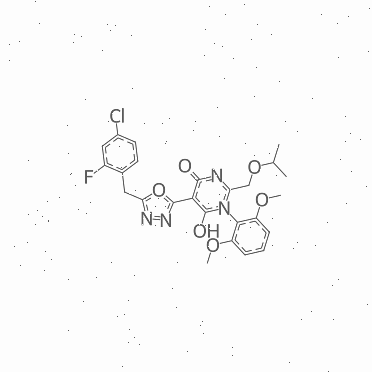 COc1cccc(OC)c1-n1c(COC(C)C)nc(=O)c(-c2nnc(Cc3ccc(Cl)cc3F)o2)c1O